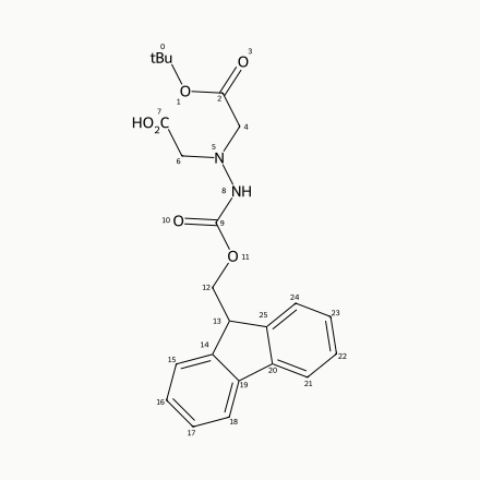 CC(C)(C)OC(=O)CN(CC(=O)O)NC(=O)OCC1c2ccccc2-c2ccccc21